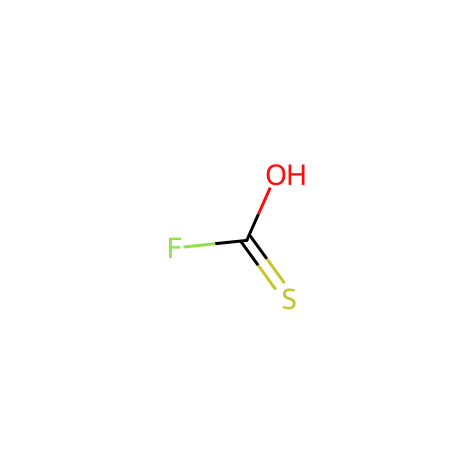 OC(F)=S